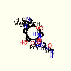 CCn1c(-c2cccnc2[C@H](C)OC)c2c3cc(ccc31)-c1cc(O)cc(c1)C[C@H](NC(=O)C(C(C)C)N(C)C(=O)N1CC[C@@H](N(C)C(=O)[C@H]3CN3)C1)C(=O)N1CCC[C@H](N1)C(=O)OCC(C)(C)C2